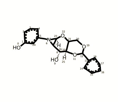 Oc1cccc(N2C3[C@@H](O)[C@@H]4OC(c5ccccc5)OCC4O[C@@H]32)c1